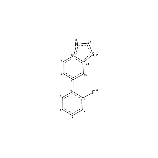 Fc1ccc[c]c1-c1ccc2ncsc2c1